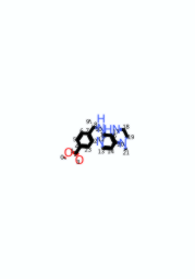 COC(=O)c1ccc([C@H](C)Nc2nccc3c2NCCN3C)cc1